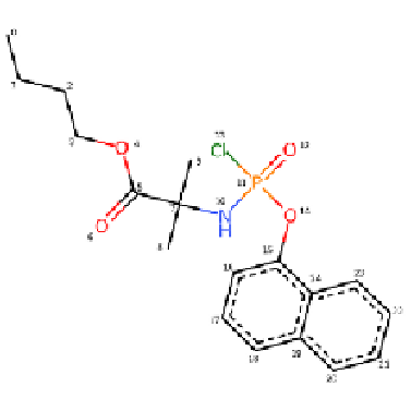 CCCCOC(=O)C(C)(C)NP(=O)(Cl)Oc1cccc2ccccc12